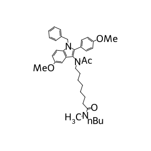 CCCCN(C)C(=O)CCCCCCCN(C(C)=O)c1c(-c2ccc(OC)cc2)n(Cc2ccccc2)c2ccc(OC)cc12